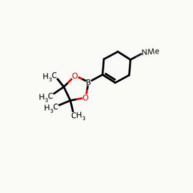 CNC1CC=C(B2OC(C)(C)C(C)(C)O2)CC1